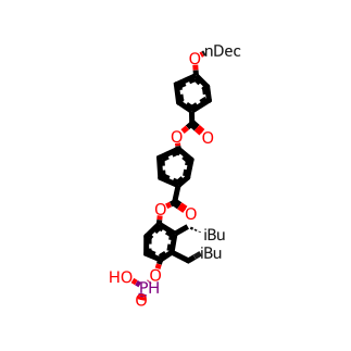 CCCCCCCCCCOc1ccc(C(=O)Oc2ccc(C(=O)Oc3ccc(O[PH](=O)O)c(CC(C)CC)c3C[C@@H](C)CC)cc2)cc1